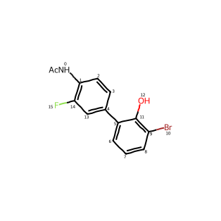 CC(=O)Nc1ccc(-c2cccc(Br)c2O)cc1F